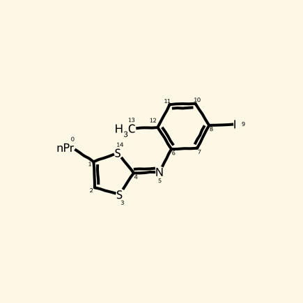 CCCc1csc(=Nc2cc(I)ccc2C)s1